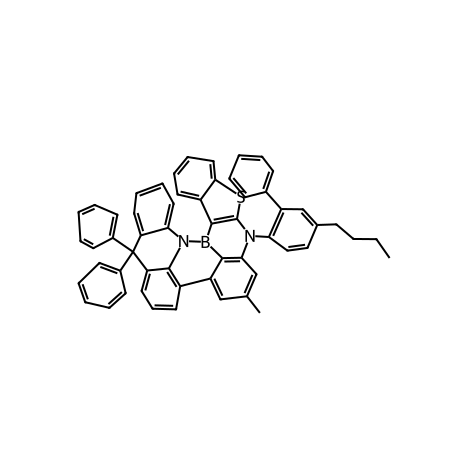 CCCCc1ccc(N2c3cc(C)cc4c3B(c3c2sc2ccccc32)N2c3ccccc3C(c3ccccc3)(c3ccccc3)c3cccc-4c32)c(-c2ccccc2)c1